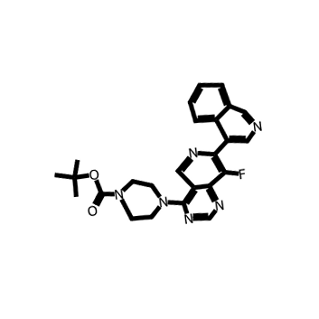 CC(C)(C)OC(=O)N1CCN(c2ncnc3c(F)c(-c4cncc5ccccc45)ncc23)CC1